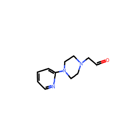 O=[C]CN1CCN(c2ccccn2)CC1